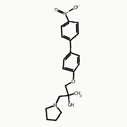 CC(O)(COc1ccc(-c2ccc([N+](=O)[O-])cc2)cc1)CN1CCCC1